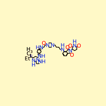 C/C=C(\CC)C1CC(N[C@H]2CC[C@H](NCC(=O)N3CCN(CCCCNc4cccc5c4C(=O)N(C4CCC(=O)NC4=O)C5=O)CC3)C2)N2NCCC2N1